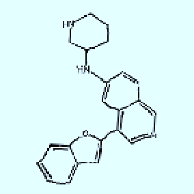 c1ccc2oc(-c3cncc4ccc(NC5CCCNC5)cc34)cc2c1